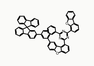 c1ccc(-c2nc(-c3cccc4c3oc3ccccc34)nc(-c3cccc4oc5ccc(-c6cccc(-c7ccc8c(c7)C7(c9ccccc9-c9ccccc97)c7ccccc7-8)c6)cc5c34)n2)cc1